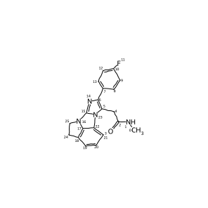 CNC(=O)Cc1c(-c2ccc(F)cc2)nc2n3c4c(cccc4n12)CC3